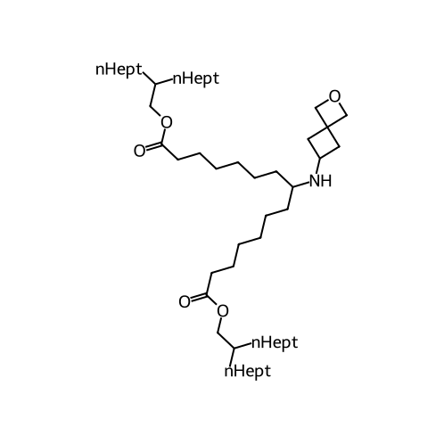 CCCCCCCC(CCCCCCC)COC(=O)CCCCCCC(CCCCCCC(=O)OCC(CCCCCCC)CCCCCCC)NC1CC2(COC2)C1